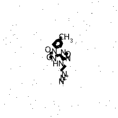 Cc1ccc(-n2c(-c3nonc3NCCN=[N+]=[N-])noc2=O)cc1